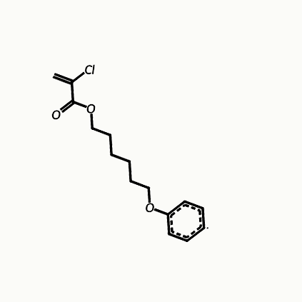 C=C(Cl)C(=O)OCCCCCCOc1cc[c]cc1